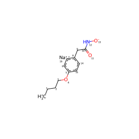 CCCCOc1ccc(CC(=O)N[O-])cc1.[Na+]